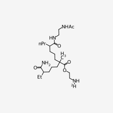 [2H]NCCOC(=O)C(C)(CCCC(CC)C(N)=O)CCCC(CCC)C(=O)NCCNC(C)=O